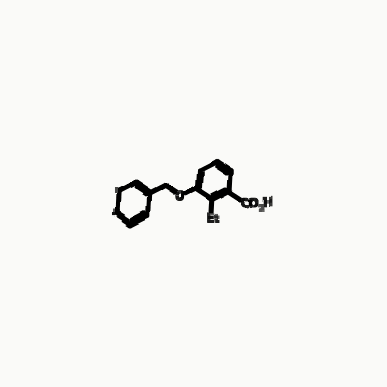 CCc1c(OCC2=C[C][C]C=C2)cccc1C(=O)O